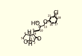 O=C1C[C@H]2OCC[C@@H]2[C@H]1/C=C/[C@@H](O)COc1cccc(Cl)c1